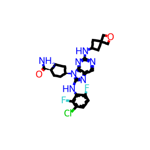 NC(=O)[C@H]1CC[C@@H](n2c(Nc3c(F)ccc(Cl)c3F)nc3cnc(NC4CC5(COC5)C4)nc32)CC1